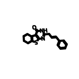 O=c1[nH]c(C/C=C/c2ccccc2)nc2sc3c(c12)CCCC3